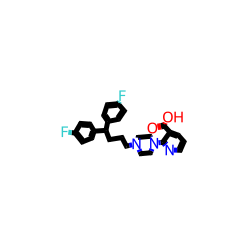 O=C(O)c1cccnc1N1CCN(CCCC(c2ccc(F)cc2)c2ccc(F)cc2)CC1